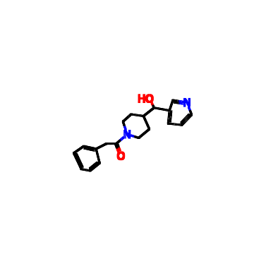 O=C(Cc1ccccc1)N1CCC(C(O)c2cccnc2)CC1